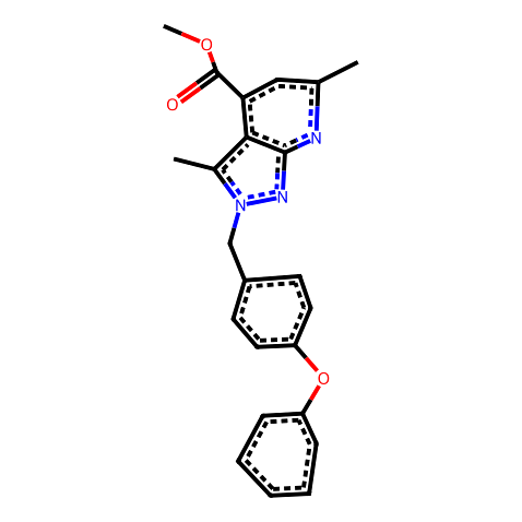 COC(=O)c1cc(C)nc2nn(Cc3ccc(Oc4ccccc4)cc3)c(C)c12